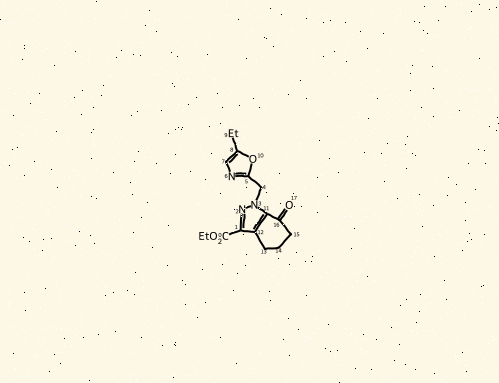 CCOC(=O)c1nn(Cc2ncc(CC)o2)c2c1CCCC2=O